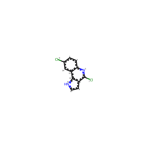 Clc1ccc2nc(Cl)c3cc[nH]c3c2c1